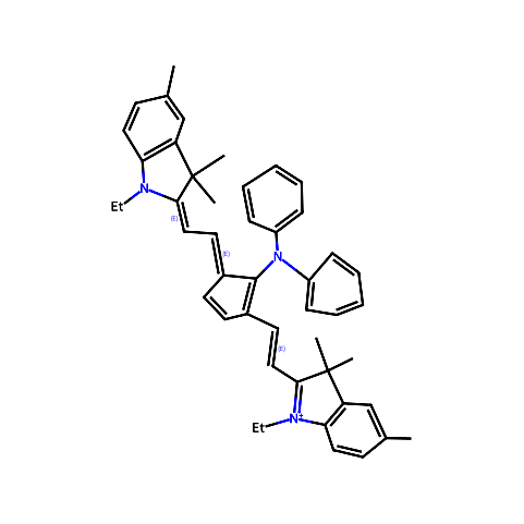 CCN1/C(=C/C=C2\C=CC(/C=C/C3=[N+](CC)c4ccc(C)cc4C3(C)C)=C2N(c2ccccc2)c2ccccc2)C(C)(C)c2cc(C)ccc21